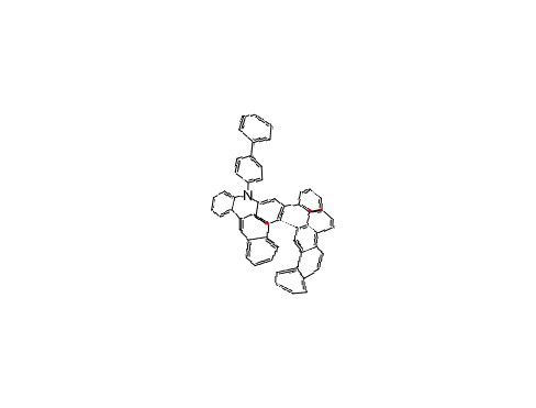 c1ccc(-c2ccc(N(c3ccc(-c4cc5c6ccccc6ccc5c5ccccc45)c(-c4ccccc4)c3)c3ccccc3-c3ccc4ccccc4c3)cc2)cc1